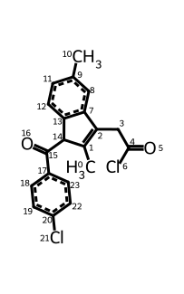 CC1=C(CC(=O)Cl)c2cc(C)ccc2C1C(=O)c1ccc(Cl)cc1